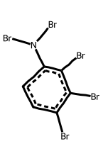 Brc1ccc(N(Br)Br)c(Br)c1Br